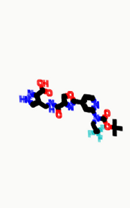 CC(C)(C)OC(=O)N(CC(F)(F)F)c1cc(-c2nc(C(=O)NCc3c[nH]nc3C(=O)O)co2)ccn1